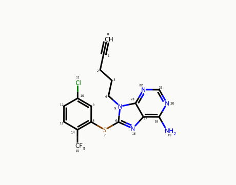 C#CCCCn1c(Sc2cc(Cl)ccc2C(F)(F)F)nc2c(N)ncnc21